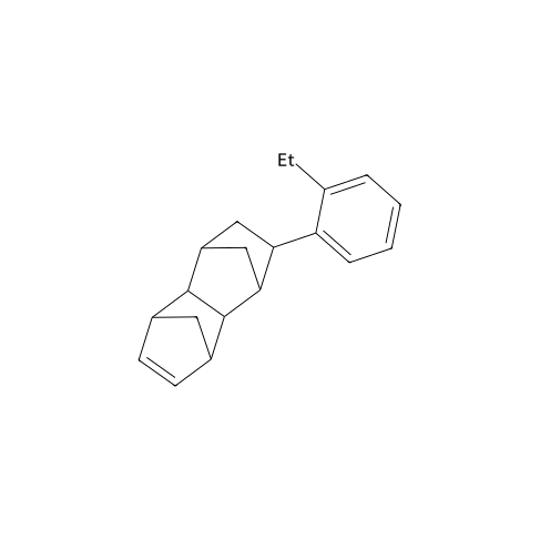 CCc1ccccc1C1CC2CC1C1C3C=CC(C3)C21